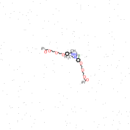 CC(CN(c1ccc(OCCCOCCCOCC(=O)C(C)C)cc1F)C(C)C)N[C@H](C)c1ccc(OCCCOCCCOCC(=O)C(C)C)cc1